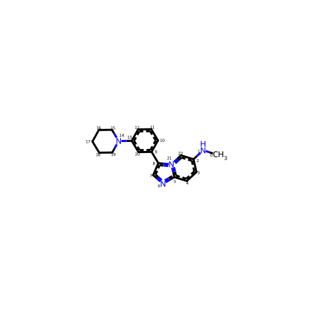 CNc1ccc2ncc(-c3cccc(N4CCCCC4)c3)n2c1